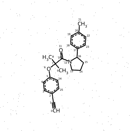 C#Cc1ccc(OC(C)(C)C(=O)N2CCCC2c2ccc(C)cc2)cc1